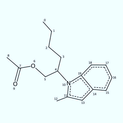 CCCCC(COC(C)=O)n1c(C)cc2ccccc21